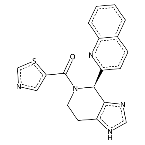 O=C(c1cncs1)N1CCc2[nH]cnc2[C@@H]1c1ccc2ccccc2n1